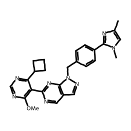 COc1ncnc(C2CCC2)c1-c1ncc2cnn(Cc3ccc(-c4nc(C)cn4C)cc3)c2n1